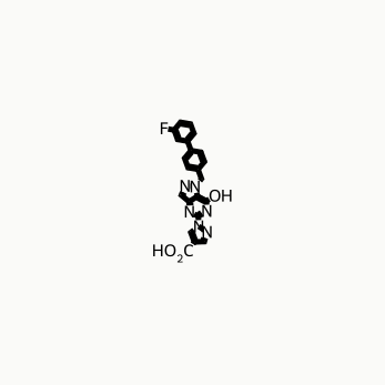 O=C(O)c1cnn(-c2nc(O)c3c(cnn3Cc3ccc(-c4cccc(F)c4)cc3)n2)c1